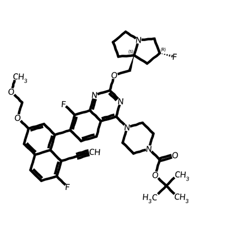 C#Cc1c(F)ccc2cc(OCOC)cc(-c3ccc4c(N5CCN(C(=O)OC(C)(C)C)CC5)nc(OC[C@@]56CCCN5C[C@H](F)C6)nc4c3F)c12